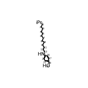 CC(C)CCCCCCCCCCCCCNc1ccc(CO)cc1